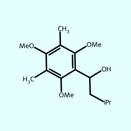 COc1c(C)c(OC)c(C(O)CC(C)C)c(OC)c1C